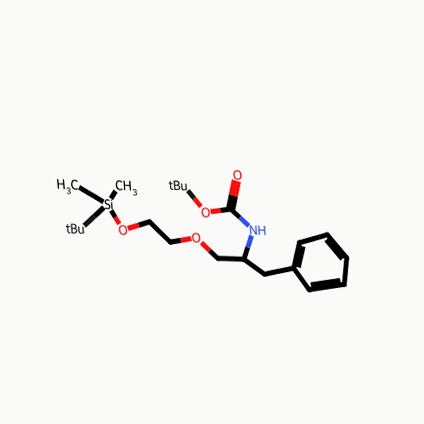 CC(C)(C)OC(=O)NC(COCCO[Si](C)(C)C(C)(C)C)Cc1ccccc1